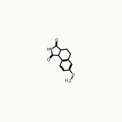 COc1ccc2c(c1)CCC1C(=O)NC(=O)C21